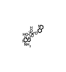 CC1(O)C(O)C(n2ccc3c(N)ncnc32)O[C@@H]1COc1ccc2cccnc2c1